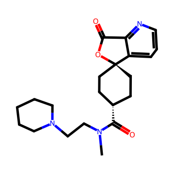 CN(CCN1CCCCC1)C(=O)[C@H]1CC[C@@]2(CC1)OC(=O)c1ncccc12